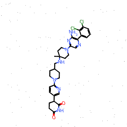 CC1(NCC2CCN(c3ccc(C4CCC(=O)NC4=O)cn3)CC2)CCN(c2cnc(-c3cccc(Cl)c3Cl)c(N)n2)CC1